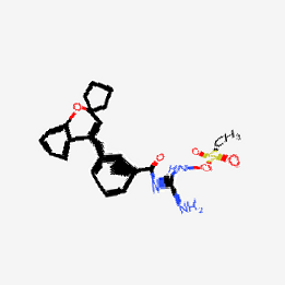 CS(=O)(=O)ONC(N)=NC(=O)c1cccc(C2=CC3(CCCC3)Oc3ccccc32)c1